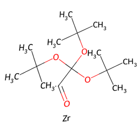 CC(C)(C)OC([C]=O)(OC(C)(C)C)OC(C)(C)C.[Zr]